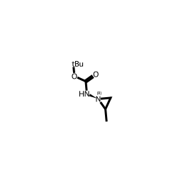 CC1C[N@]1NC(=O)OC(C)(C)C